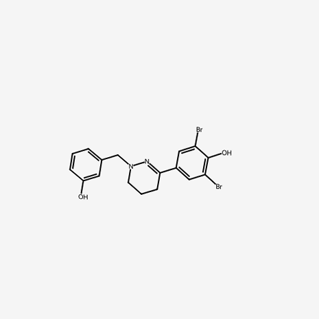 Oc1cccc(CN2CCCC(c3cc(Br)c(O)c(Br)c3)=N2)c1